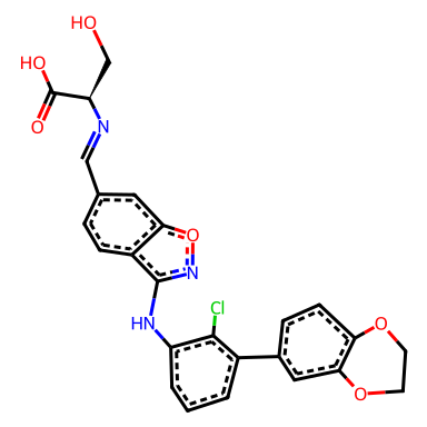 O=C(O)[C@@H](CO)N=Cc1ccc2c(Nc3cccc(-c4ccc5c(c4)OCCO5)c3Cl)noc2c1